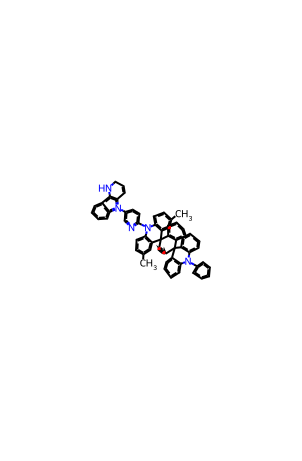 Cc1ccc2c(c1)C1(c3cc(C)ccc3N2c2ccc(-n3c4c(c5ccccc53)NCC=C4)cn2)c2ccccc2C2(c3ccccc3N(c3ccccc3)c3ccccc32)c2ccccc21